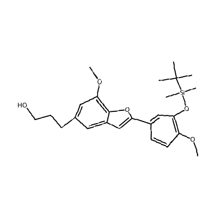 COc1ccc(-c2cc3cc(CCCO)cc(OC)c3o2)cc1O[Si](C)(C)C(C)(C)C